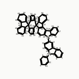 c1ccc(-n2c3ccccc3c3cc(-n4c5ccccc5c5c6c(ccc54)C4(c5ccccc5-6)c5ccccc5C5(c6ccccc6-c6ccccc65)c5ccccc54)ccc32)cc1